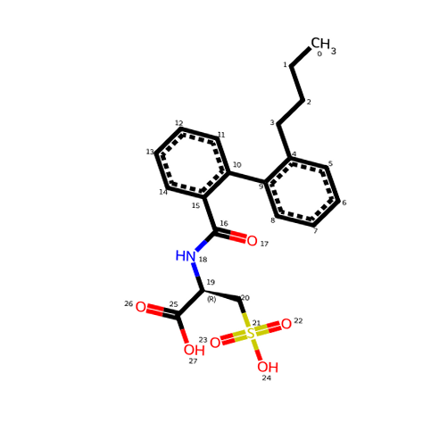 CCCCc1ccccc1-c1ccccc1C(=O)N[C@@H](CS(=O)(=O)O)C(=O)O